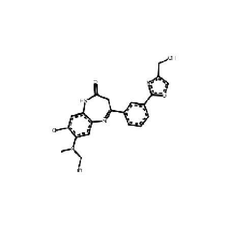 CC(C)CN(C)c1cc2c(cc1Cl)NC(=O)CC(c1cccc(-c3nc(CO)co3)c1)=N2